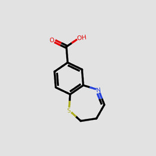 O=C(O)c1ccc2c(c1)N=CCCS2